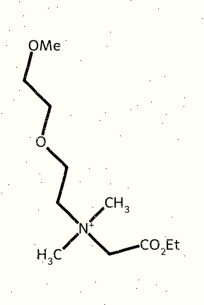 CCOC(=O)C[N+](C)(C)CCOCCOC